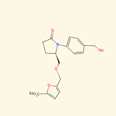 CCOC(=O)c1ccc(COC[C@H]2CCC(=O)N2c2ccc(CO)cc2)o1